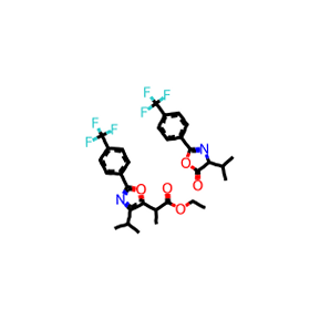 CC(C)C1N=C(c2ccc(C(F)(F)F)cc2)OC1=O.CCOC(=O)C(C)c1oc(-c2ccc(C(F)(F)F)cc2)nc1C(C)C